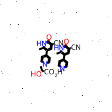 CC(O)C(=O)O.Cc1[nH]c(=O)c(C#N)cc1-c1ccncc1.Cc1[nH]c(=O)c(C#N)cc1-c1ccncc1